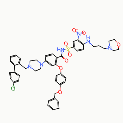 O=C(NS(=O)(=O)c1ccc(NCCCN2CCOCC2)c([N+](=O)[O-])c1)c1ccc(N2CCN(Cc3ccccc3-c3ccc(Cl)cc3)CC2)cc1Oc1ccc(OCc2ccccc2)cc1